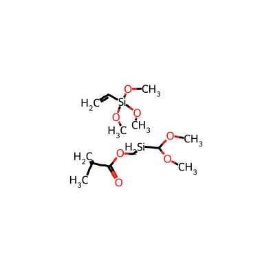 C=C(C)C(=O)OC[SiH2]C(OC)OC.C=C[Si](OC)(OC)OC